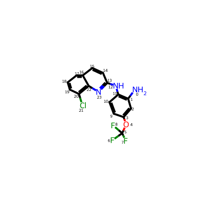 Nc1cc(OC(F)(F)F)ccc1Nc1ccc2cccc(Cl)c2n1